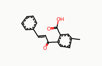 Cc1ccc(C(=O)C=Cc2ccccc2)c(C(=O)O)c1